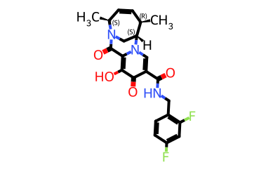 C[C@@H]1C=C[C@H](C)N2C[C@H]1n1cc(C(=O)NCc3ccc(F)cc3F)c(=O)c(O)c1C2=O